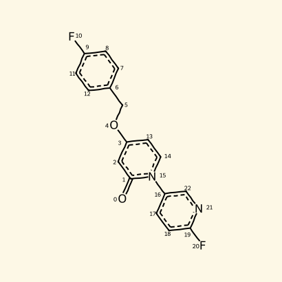 O=c1cc(OCc2ccc(F)cc2)ccn1-c1ccc(F)nc1